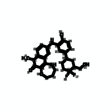 Cn1c(=O)c2c(c3cc(Nc4nc(N5CCC(F)(F)C(CO)C5)ncc4Cl)ccc31)NCCCO2